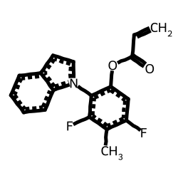 C=CC(=O)Oc1cc(F)c(C)c(F)c1-n1ccc2ccccc21